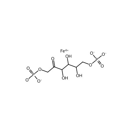 O=C(COP(=O)([O-])[O-])C(O)C(O)C(O)COP(=O)([O-])[O-].[Fe+4]